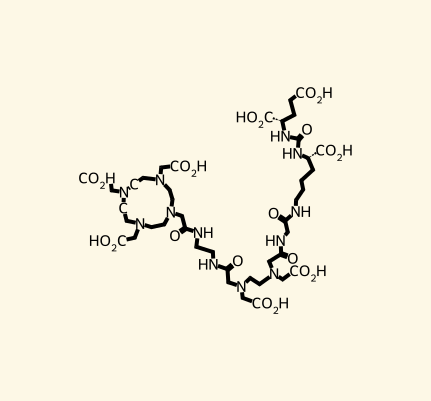 O=C(O)CC[C@H](NC(=O)N[C@@H](CCCCNC(=O)CNC(=O)CN(CCN(CC(=O)O)CC(=O)NCCNC(=O)CN1CCN(CC(=O)O)CCN(CC(=O)O)CCN(CC(=O)O)CC1)CC(=O)O)C(=O)O)C(=O)O